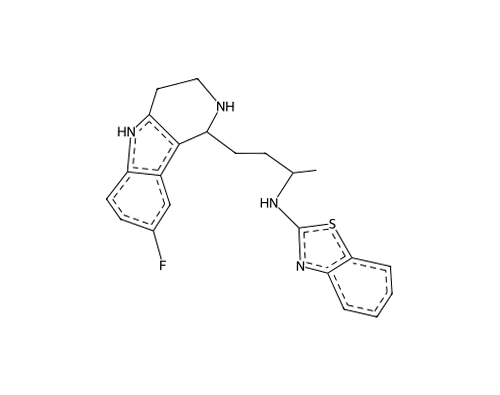 CC(CCC1NCCc2[nH]c3ccc(F)cc3c21)Nc1nc2ccccc2s1